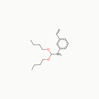 C=Cc1cccc([SiH2]C(OCCCC)OCCCC)c1